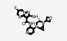 Nc1nn2cc(F)cnc2c1C(=O)Nc1cnccc1N1CCN(C2COC2)C2CC21